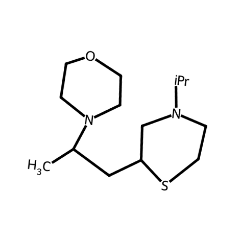 CC(C)N1CCSC(CC(C)N2CCOCC2)C1